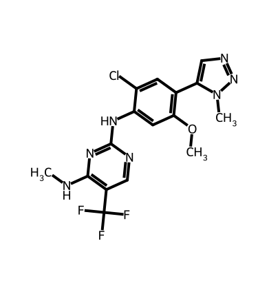 CNc1nc(Nc2cc(OC)c(-c3cnnn3C)cc2Cl)ncc1C(F)(F)F